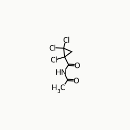 CC(=O)NC(=O)C1(Cl)CC1(Cl)Cl